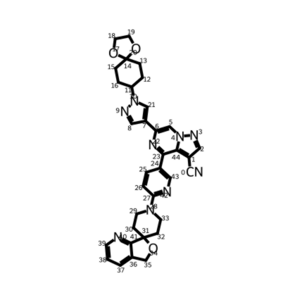 N#Cc1cnn2cc(-c3cnn(C4CCC5(CC4)OCCO5)c3)nc(-c3ccc(N4CCC5(CC4)OCc4cccnc45)nc3)c12